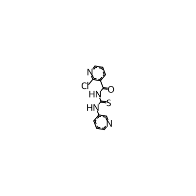 O=C(NC(=S)Nc1cccnc1)c1cccnc1Cl